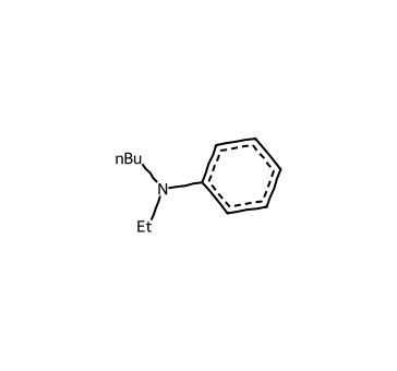 CCCCN(CC)c1ccccc1